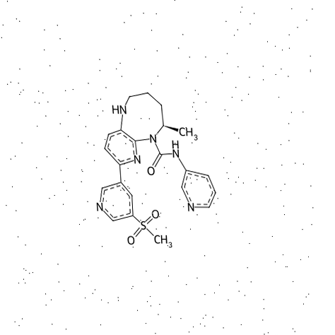 C[C@@H]1CCCNc2ccc(-c3cncc(S(C)(=O)=O)c3)nc2N1C(=O)Nc1cccnc1